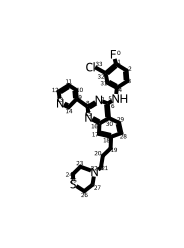 Fc1ccc(Nc2nc(-c3cccnc3)nc3cc(CCCN4CCSCC4)ccc23)cc1Cl